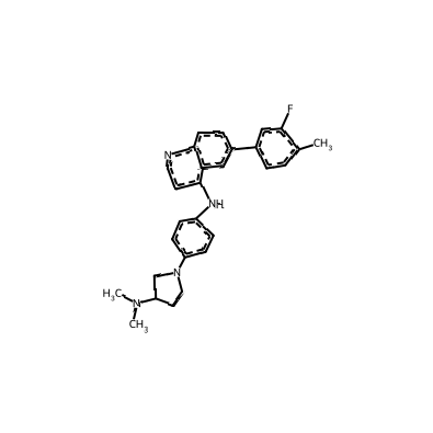 Cc1ccc(-c2ccc3nccc(Nc4ccc(N5CCC(N(C)C)C5)cc4)c3c2)cc1F